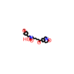 COc1ccc(CCN(CCCCCC(=O)c2cc3c4c(c2)CCN4C(=O)CC3)C(=O)O)cc1